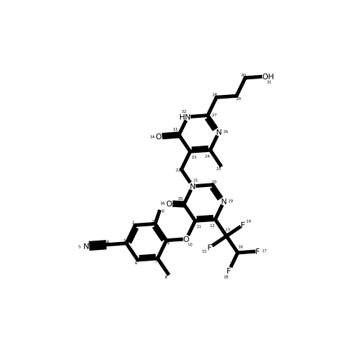 Cc1cc(C#N)cc(C)c1Oc1c(C(F)(F)C(F)F)ncn(Cc2c(C)nc(CCCO)[nH]c2=O)c1=O